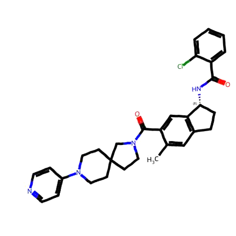 Cc1cc2c(cc1C(=O)N1CCC3(CCN(c4ccncc4)CC3)C1)[C@H](NC(=O)c1ccccc1Cl)CC2